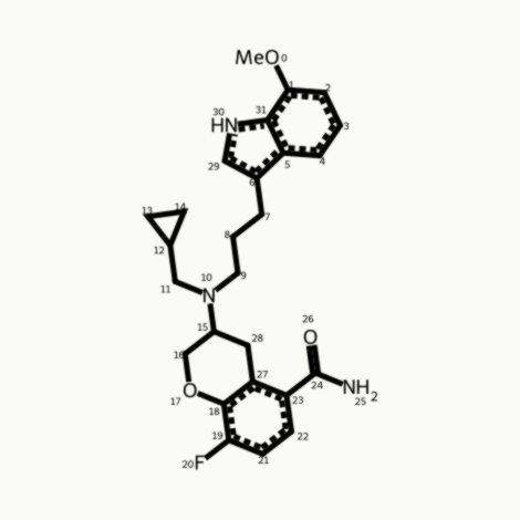 COc1cccc2c(CCCN(CC3CC3)C3COc4c(F)ccc(C(N)=O)c4C3)c[nH]c12